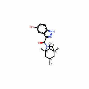 CC[C@@H]1C[C@H]2CN(C(=O)c3n[nH]c4ccc(Br)cc34)[C@@H](C1)C2C